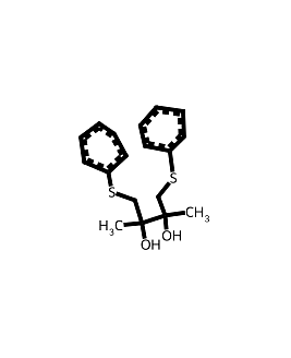 CC(O)(CSc1ccccc1)C(C)(O)CSc1ccccc1